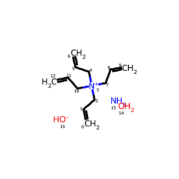 C=CC[N+](CC=C)(CC=C)CC=C.N.O.[OH-]